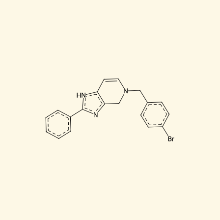 Brc1ccc(CN2C=Cc3[nH]c(-c4ccccc4)nc3C2)cc1